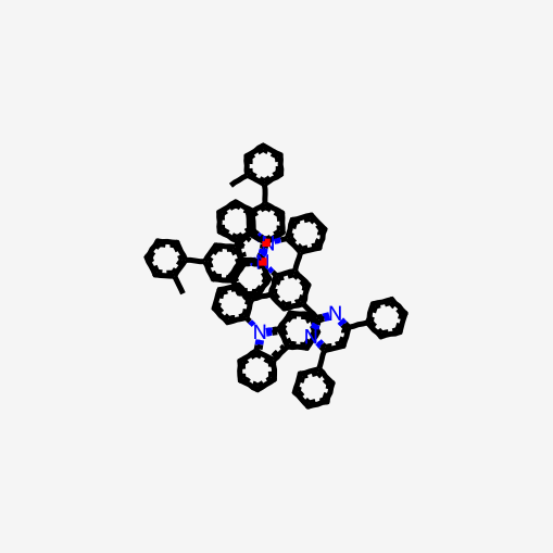 Cc1ccccc1-c1ccc2c(c1)c1cc(-c3ccccc3C)ccc1n2-c1c(-c2ccccc2-n2c3ccccc3c3ccccc32)cc(-c2nc(-c3ccccc3)cc(-c3ccccc3)n2)cc1-c1ccccc1-n1c2ccccc2c2ccccc21